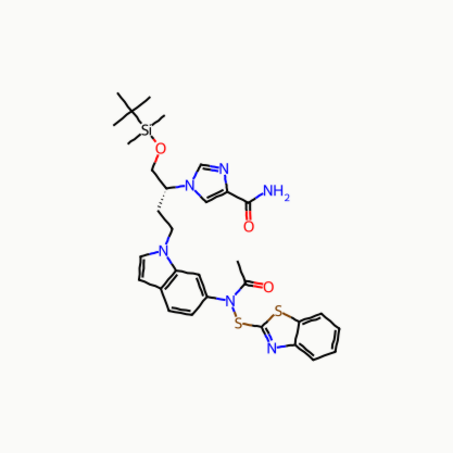 CC(=O)N(Sc1nc2ccccc2s1)c1ccc2ccn(CC[C@H](CO[Si](C)(C)C(C)(C)C)n3cnc(C(N)=O)c3)c2c1